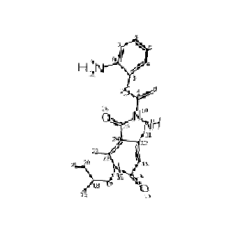 C=C(Sc1ccccc1N)n1[nH]c2cc(=O)n(CC(C)CC)c(C)c2c1=O